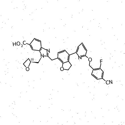 N#Cc1ccc(COc2cccc(-c3ccc(Cc4nc5ccc(C(=O)O)cc5n4C[C@@H]4CCO4)c4c3CCO4)n2)c(F)c1